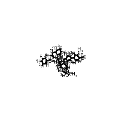 [2H]c1c([2H])c(F)c(F)c(C([2H])([2H])Sc2c([2H])c(=O)c3c([2H])c([2H])c([2H])c([2H])c3n2C([2H])([2H])C(=O)N(Cc2c([2H])c([2H])c(-c3c([2H])c([2H])c(C(F)(F)F)c(C)c3[2H])c([2H])c2[2H])C2([2H])C([2H])([2H])C([2H])([2H])N(CC([2H])([2H])OC)C([2H])([2H])C2([2H])[2H])c1[2H]